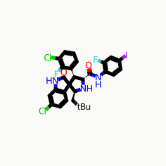 CC(C)(C)C[C@@H]1N[C@@H](C(=O)Nc2ccc(I)cc2F)[C@@H](c2cccc(Cl)c2F)C12C(=O)Nc1cc(Cl)ccc12